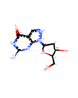 Nc1nc2c(cnn2C2CC(O)C(CO)O2)c(=O)[nH]1